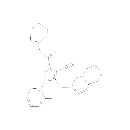 N#Cc1c(C(=O)NC2CCCCC2)nn(-c2ccccc2Cl)c1Oc1ccc2ccccc2c1